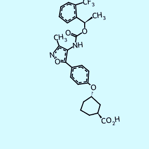 Cc1noc(-c2ccc(O[C@H]3CCC[C@H](C(=O)O)C3)cc2)c1NC(=O)O[C@H](C)c1ccccc1C(F)(F)F